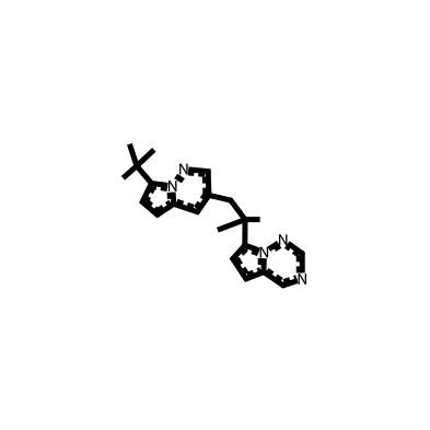 CC(C)(C)c1ccc2cc(CC(C)(C)c3ccc4cncnn34)cnn12